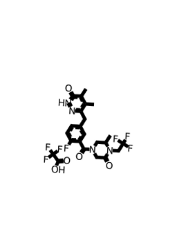 Cc1c(Cc2ccc(F)c(C(=O)N3CC(=O)N(CC(F)(F)F)C(C)C3)c2)n[nH]c(=O)c1C.O=C(O)C(F)(F)F